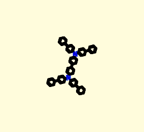 C1=CCCC(c2ccc(N(C3=CCC(c4ccccc4)C=C3)C3=CC=C(C4C=CC(N(c5ccc(C6=CCCCC6)cc5)C5C=CC(C6C=CC=CC6)=CC5)CC4)CC3)cc2)=C1